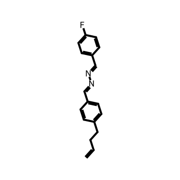 C=CCCc1ccc(/C=N/N=C/c2ccc(F)cc2)cc1